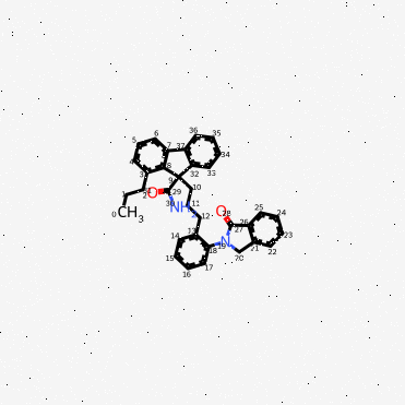 CCCc1cccc2c1C(CCCc1ccccc1N1Cc3ccccc3C1=O)(C(N)=O)c1ccccc1-2